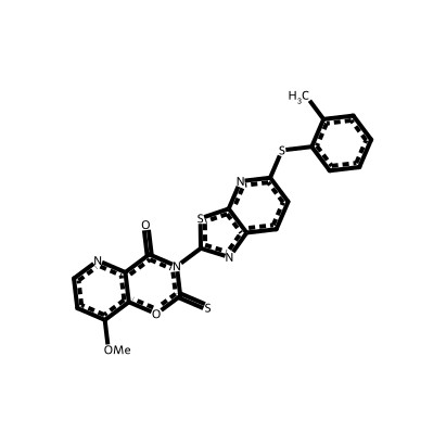 COc1ccnc2c(=O)n(-c3nc4ccc(Sc5ccccc5C)nc4s3)c(=S)oc12